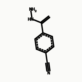 C=C(NN)c1ccc(C#N)cc1